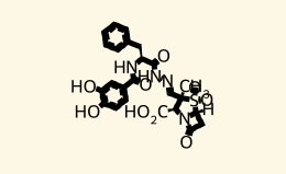 C[C@]1(/C=N/NC(=O)[C@H](Cc2ccccc2)NC(=O)c2ccc(O)c(O)c2)[C@H](C(=O)O)N2C(=O)C[C@H]2S1(=O)=O